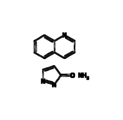 N.O=C1C=CN=N1.c1ccc2ncccc2c1